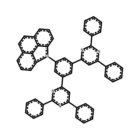 c1ccc(-c2cc(-c3cc(-c4cc(-c5ccccc5)nc(-c5ccccc5)n4)cc(-n4c5cccc6ccc7cccc4c7c65)c3)nc(-c3ccccc3)n2)cc1